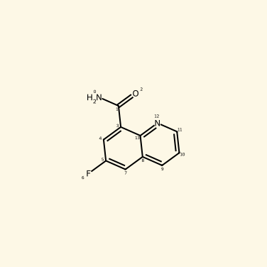 NC(=O)c1cc(F)cc2cccnc12